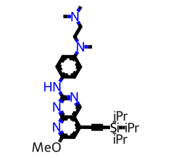 COc1cc(C#C[Si](C(C)C)(C(C)C)C(C)C)c2cnc(Nc3ccc(N(C)CCN(C)C)cc3)nc2n1